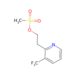 CS(=O)(=O)OCCc1ncccc1C(F)(F)F